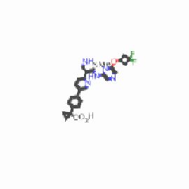 CN/C(Nc1cncc(OC2CC(F)(F)C2)n1)=C(\C=N)c1ccc(-c2ccc(C3(C(=O)O)CC3)cc2)cn1